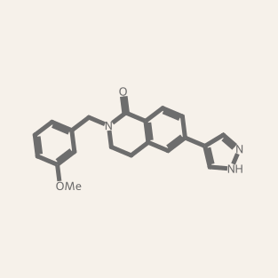 COc1cccc(CN2CCc3cc(-c4cn[nH]c4)ccc3C2=O)c1